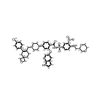 O=C(NS(=O)(=O)c1ccc(NC[C@@H]2COCCO2)c([N+](=O)[O-])c1)c1ccc(N2CCN(CC3=C(c4ccc(Cl)cc4)CC4(CC3)COC4)CC2)cc1Oc1cnc2[nH]ccc2c1